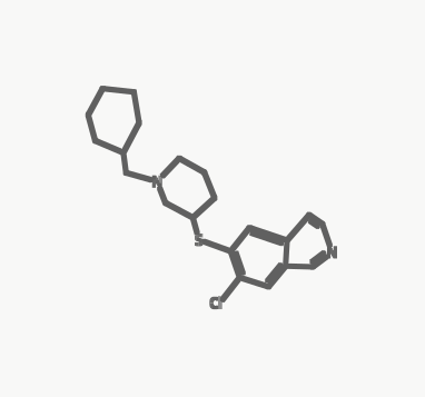 Clc1cc2cnccc2cc1SC1CCCN(CC2CCCCC2)C1